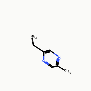 CCC(C)Cc1cnc(C)cn1